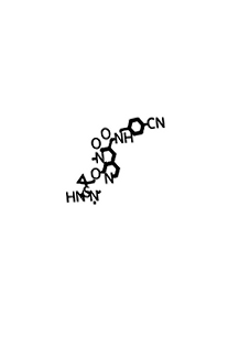 CN(C)S(=N)C1(COc2nccc3cc(C(=O)NCc4ccc(C#N)cc4)c(=O)n(C)c23)CC1